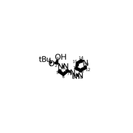 CC(C)(C)OC(O)n1ccc(-n2nnc3cnccc32)n1